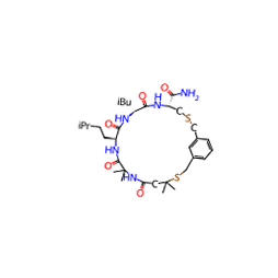 CC[C@H](C)[C@@H]1NC(=O)[C@H](CCC(C)C)NC(=O)C(C)(C)NC(=O)CC(C)(C)SCc2cccc(c2)CSC[C@@H](C(N)=O)NC1=O